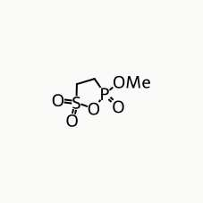 COP1(=O)CCS(=O)(=O)O1